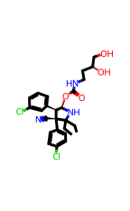 CCC1(CC)N[C@H](OC(=O)NCC[C@H](O)CO)[C@H](c2cccc(Cl)c2)[C@@]1(C#N)c1ccc(Cl)cc1